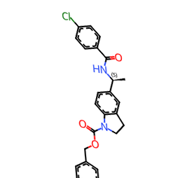 C[C@H](NC(=O)c1ccc(Cl)cc1)c1ccc2c(c1)CCN2C(=O)OCc1ccccc1